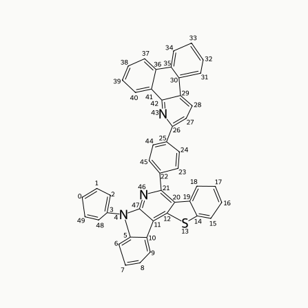 c1ccc(-n2c3ccccc3c3c4sc5ccccc5c4c(-c4ccc(-c5ccc6c7ccccc7c7ccccc7c6n5)cc4)nc32)cc1